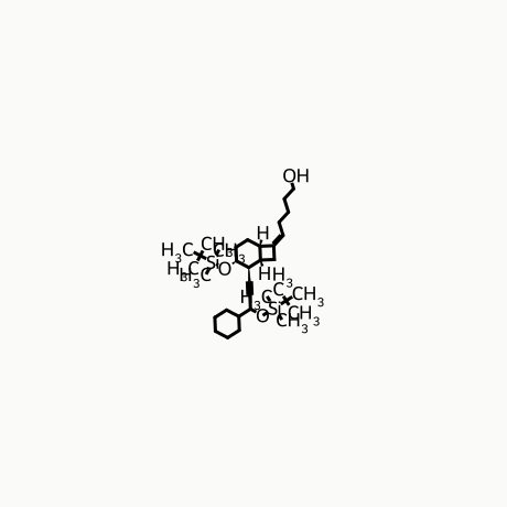 CC(C)(C)[Si](C)(C)OC(C#C[C@@H]1[C@H]2C/C(=C/CCCCO)[C@H]2CC[C@H]1O[Si](C)(C)C(C)(C)C)C1CCCCC1